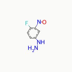 NNc1ccc(F)c(N=O)c1